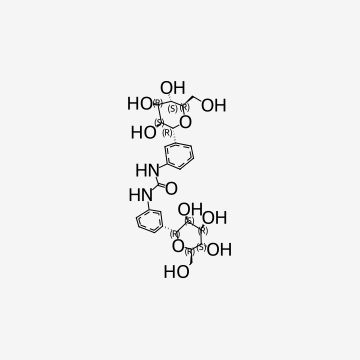 O=C(Nc1cccc([C@H]2O[C@H](CO)[C@@H](O)[C@H](O)[C@@H]2O)c1)Nc1cccc([C@H]2O[C@H](CO)[C@@H](O)[C@H](O)[C@@H]2O)c1